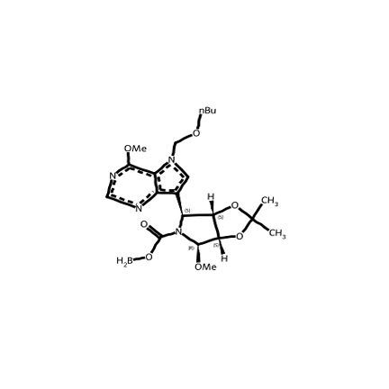 BOC(=O)N1[C@H](OC)[C@H]2OC(C)(C)O[C@H]2[C@@H]1c1cn(COCCCC)c2c(OC)ncnc12